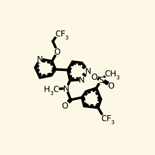 CN(C(=O)c1cc(C(F)(F)F)cc(S(C)(=O)=O)c1)c1nnccc1-c1cccnc1OCC(F)(F)F